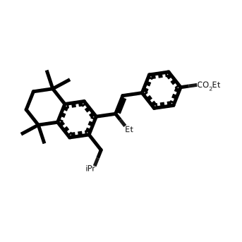 CCOC(=O)c1ccc(C=C(CC)c2cc3c(cc2CC(C)C)C(C)(C)CCC3(C)C)cc1